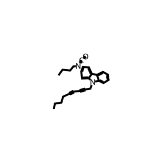 CCCCC#CC#CCn1c2ccccc2c2ccccc21.CCCCN=C=O